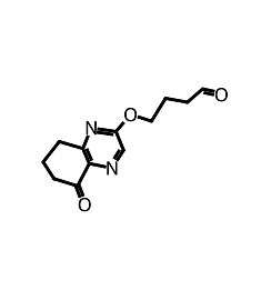 O=CCCCOc1cnc2c(n1)CCCC2=O